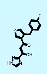 O=C(C=C(O)c1nc[nH]n1)c1cscc1Cc1ccc(F)cc1